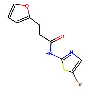 O=C(CCc1ccco1)Nc1ncc(Br)s1